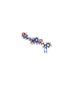 O=C(C=Cc1c[nH]c2ccccc12)Nc1cccc(C(=O)NCCCN2CCOCC2)c1